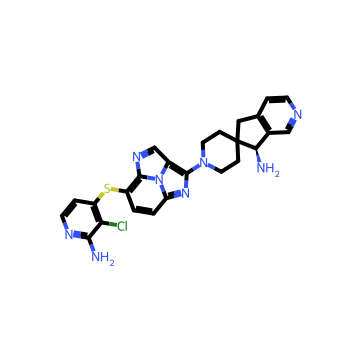 Nc1nccc(Sc2ccc3nc(N4CCC5(CC4)Cc4ccncc4[C@H]5N)c4cnc2n34)c1Cl